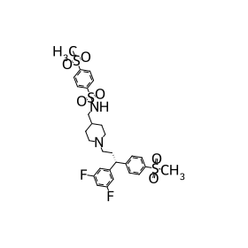 CS(=O)(=O)c1ccc([C@@H](CCN2CCC(CNS(=O)(=O)c3ccc(S(C)(=O)=O)cc3)CC2)c2cc(F)cc(F)c2)cc1